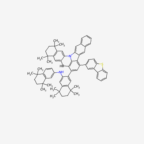 CC1(C)CCC(C)(C)c2cc(Nc3cc4c(cc3-c3cc(-c5ccc6sc7ccccc7c6c5)c5c6cc7ccccc7cc6n6c5c3Bc3cc5c(cc3-6)C(C)(C)CCC5(C)C)C(C)(C)CCC4(C)C)ccc21